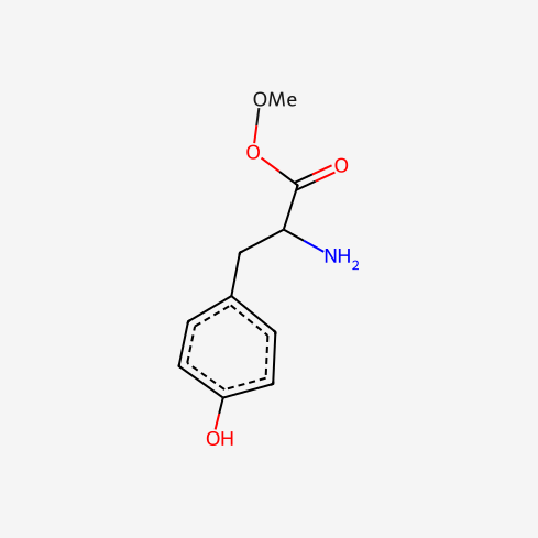 COOC(=O)C(N)Cc1ccc(O)cc1